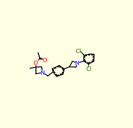 CC(=O)OC1(C)CN(Cc2ccc(C3CN(c4c(Cl)cccc4Cl)C3)cc2)C1